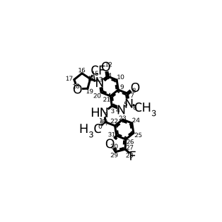 C[C@@H](Nc1nn(C)c(=O)c2cc(=O)n([C@@]3(C(F)(F)F)CCOC3)cc12)c1cccc2c(F)coc12